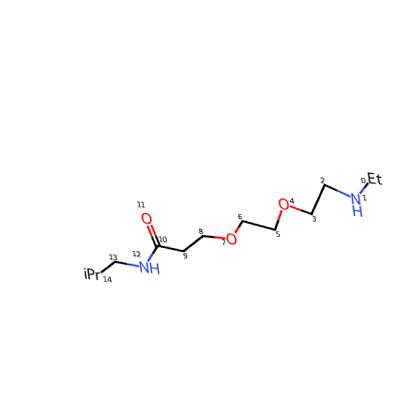 CCNCCOCCOCCC(=O)NCC(C)C